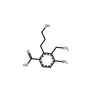 CCc1c(N)ccc(C(=O)O)c1CCCO